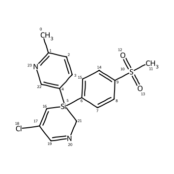 Cc1ccc([Si]2(c3ccc(S(C)(=O)=O)cc3)C=C(Cl)C=NC2)cn1